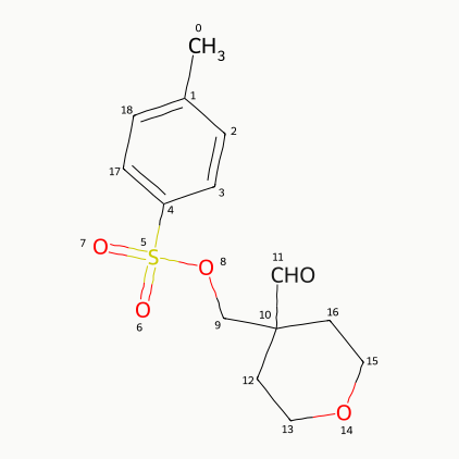 Cc1ccc(S(=O)(=O)OCC2(C=O)CCOCC2)cc1